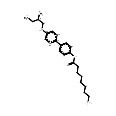 CCCCCCCCC(=O)Oc1ccc(-c2ncc(OCC(C)CC)cn2)cc1